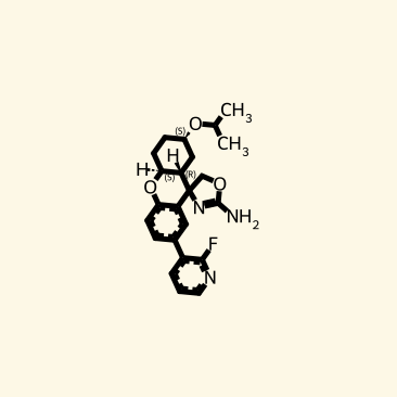 CC(C)O[C@H]1CC[C@@H]2Oc3ccc(-c4cccnc4F)cc3C3(COC(N)=N3)[C@H]2C1